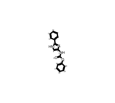 O=C(Nc1c[nH]c(-c2ccccc2)n1)Oc1ccccc1